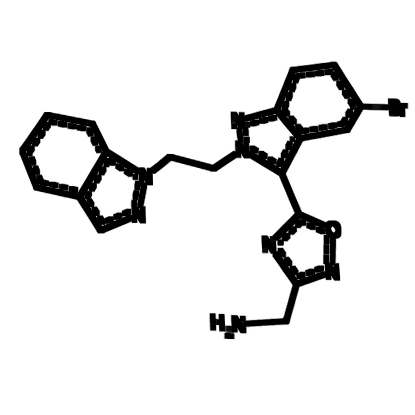 NCc1noc(-c2c3cc(Br)ccc3nn2CCn2ncc3ccccc32)n1